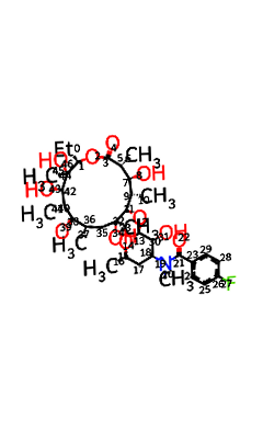 CC[C@H]1OC(=O)[C@H](C)[C@@H](O)[C@H](C)[C@@H](O[C@@H]2O[C@H](C)C[C@H](N(C)C(=O)c3ccc(F)cc3)[C@H]2O)C(C)(O)C[C@@H](C)C(=O)[C@H](C)[C@@H](O)[C@]1(C)O